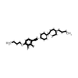 CCCCOc1ccc(C#C[C@H]2CC[C@H]([C@H]3CC[C@H](CCCC)CC3)CC2)c(F)c1F